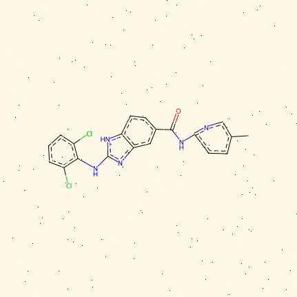 Cc1ccc(NC(=O)c2ccc3[nH]c(Nc4c(Cl)cccc4Cl)nc3c2)nc1